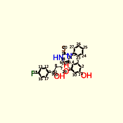 Oc1ccc([C@@H]2[C@H](CC[C@H](O)c3ccc(F)cc3)NC(=S)N2c2ccccc2)c(O)c1